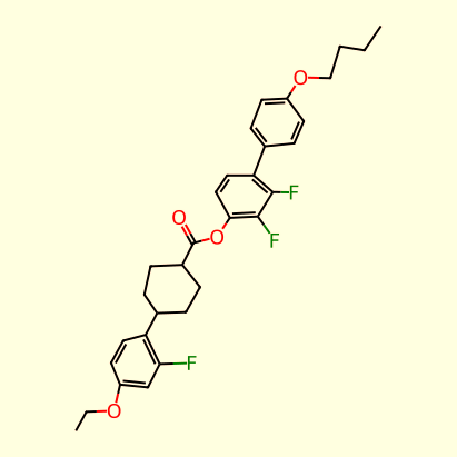 CCCCOc1ccc(-c2ccc(OC(=O)C3CCC(c4ccc(OCC)cc4F)CC3)c(F)c2F)cc1